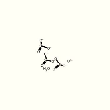 O.O=[Si]([O-])[O-].O=[Si]([O-])[O-].O=[Si]([O-])[O-].[U+6]